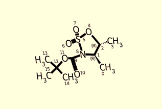 C[C@@H]1[C@@H](C)OS(=O)(=O)N1C(=O)OC(C)(C)C